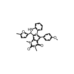 COc1ccc(-c2c3c(=O)n(C)c(=O)n(C)c3c3n2-c2ccccc2NC3c2ccc(C)o2)cc1